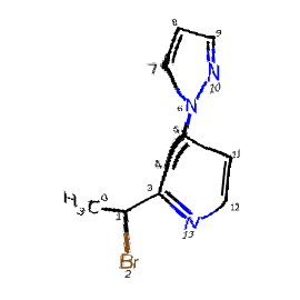 CC(Br)c1cc(-n2cccn2)ccn1